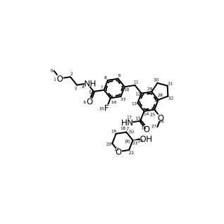 COCCNC(=O)c1ccc(Cc2cc(C(=O)N[C@H]3CCOC[C@@H]3O)c(OC)c3c2CCC3)cc1F